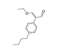 CCCCc1ccc(/C(C=O)=C\OCC)cc1